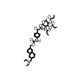 CCC(=O)O[C@H]1[C@H](OC(=O)CC)[C@H](ONC(=O)c2ccc(NC(=O)OCc3ccc4cc(CN(CC)CC)ccc4c3)cc2)O[C@@H](C)[C@H]1OC(=O)CC